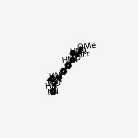 COC(=O)N[C@H](C(=O)N1CCC[C@H]1c1ncc(-c2ccc(-c3ccc(-c4cnc([C@H]5[C@H](C(=O)NCc6cnccn6)[C@@H]6CC6[C@H]5C)[nH]4)cc3)cc2)[nH]1)C(C)C